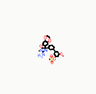 COc1cc(OS(C)(=O)=O)cc(-c2cccc(C3(c4ccc5c(c4)OCCO5)N=C(N)N(C)C3=O)c2)c1